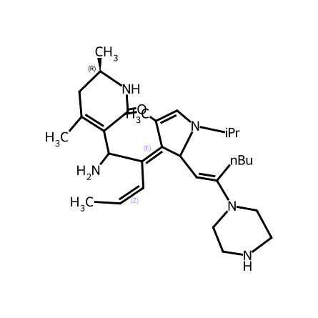 C/C=C\C(=C1\C(C)=CN(C(C)C)C1C=C(CCCC)N1CCNCC1)C(N)C1=C(C)C[C@@H](C)NC1=O